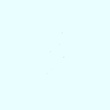 Nc1c(-c2ccc([N+](=O)[O-])cc2)[se]c2ccc([N+](=O)[O-])cc12